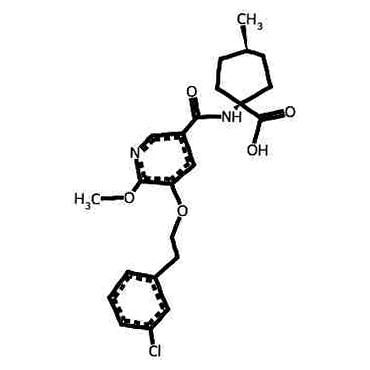 COc1ncc(C(=O)N[C@]2(C(=O)O)CC[C@@H](C)CC2)cc1OCCc1cccc(Cl)c1